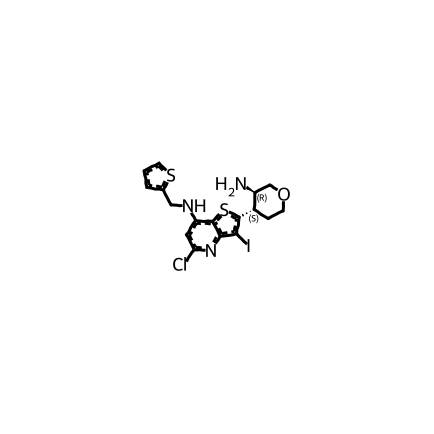 N[C@H]1COCC[C@@H]1c1sc2c(NCc3cccs3)cc(Cl)nc2c1I